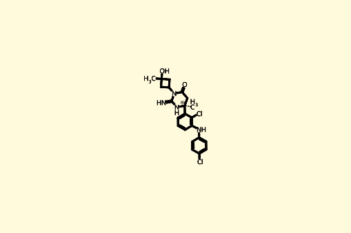 CC1(O)CC(N2C(=N)N[C@](C)(c3cccc(Nc4ccc(Cl)cc4)c3Cl)CC2=O)C1